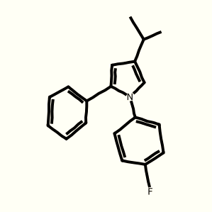 CC(C)c1cc(-c2ccccc2)n(-c2ccc(F)cc2)c1